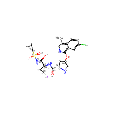 COc1cnc(O[C@H]2CN[C@H](C(=O)N[C@]3(C(=O)NS(=O)(=O)C4CC4)C[C@H]3I)C2)c2cc(Cl)ccc12